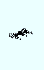 Cc1cc(B2OC(C)(C)C(C)(C)O2)ccc1N1CCOc2cn(C)nc2C1=O